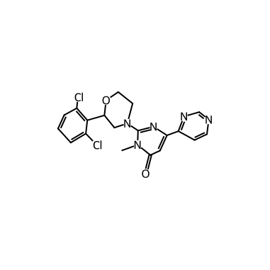 Cn1c(N2CCOC(c3c(Cl)cccc3Cl)C2)nc(-c2ccncn2)cc1=O